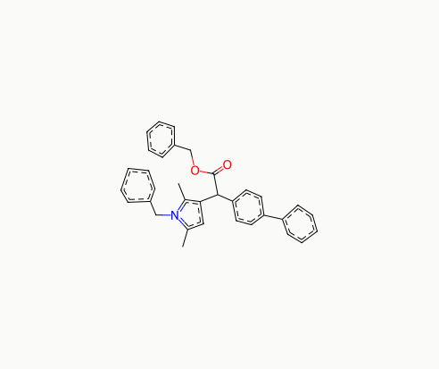 Cc1cc(C(C(=O)OCc2ccccc2)c2ccc(-c3ccccc3)cc2)c(C)n1Cc1ccccc1